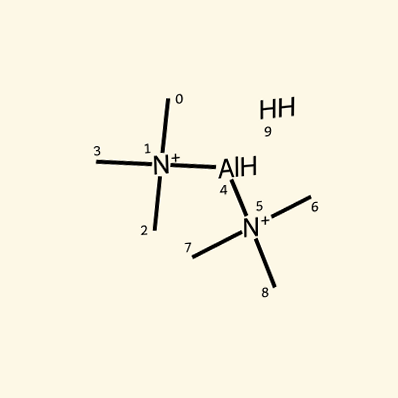 C[N+](C)(C)[AlH][N+](C)(C)C.[HH]